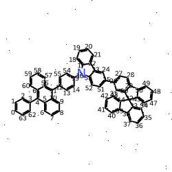 c1ccc(-c2c3ccccc3c(-c3ccc(-n4c5ccccc5c5cc(-c6ccc7c(c6)C6(c8ccccc8-c8ccccc86)c6ccccc6-7)ccc54)cc3)c3ccccc23)cc1